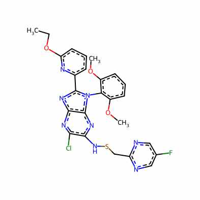 CCOc1cccc(-c2nc3nc(Cl)c(NSCc4ncc(F)cn4)nc3n2-c2c(OC)cccc2OC)n1